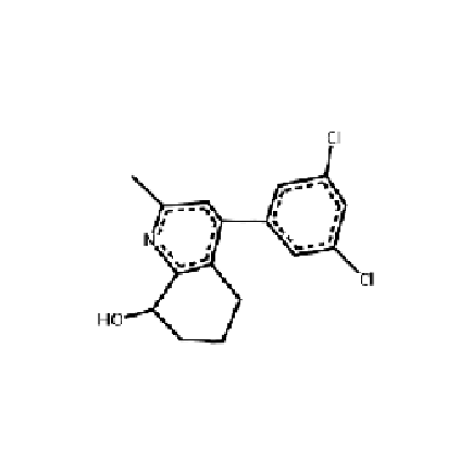 Cc1cc(-c2cc(Cl)cc(Cl)c2)c2c(n1)C(O)CCC2